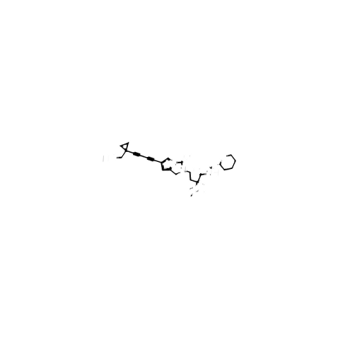 C[C@@](CCN1Cc2cc(C#CC#CC3(CO)CC3)cn2C1=O)(C(=O)NO[C@H]1CCCCO1)S(C)(=O)=O